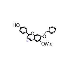 COc1cc(/C=C\C(=O)c2ccc(O)cc2)ccc1OCc1ccccc1